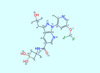 Cc1ncc(OC(F)F)cc1-n1nc(CC(C)(C)O)c2cc(C(=O)NC3(C)CS(O)(O)C3)cnc21